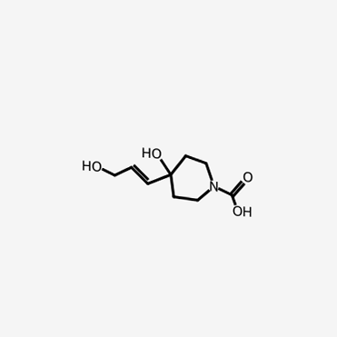 O=C(O)N1CCC(O)(C=CCO)CC1